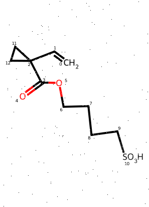 C=CC1(C(=O)OCCCCS(=O)(=O)O)CC1